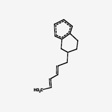 O=C(O)C=CC=CCC1CCc2ccccc2C1